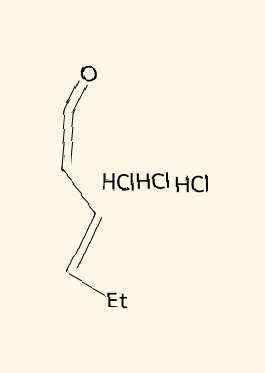 CCC=CC=C=O.Cl.Cl.Cl